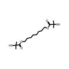 CC(C)(S)C(=O)OCCCCCCCCOC(=O)C(C)(C)S